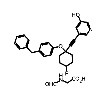 O=CNCC(=O)O.Oc1cncc(C#CC2(Oc3ccc(Cc4ccccc4)cc3)CCC(F)CC2)c1